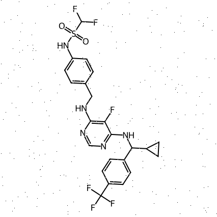 O=S(=O)(Nc1ccc(CNc2ncnc(NC(c3ccc(C(F)(F)F)cc3)C3CC3)c2F)cc1)C(F)F